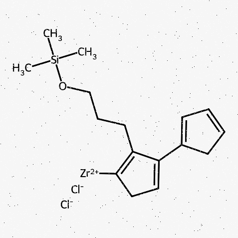 C[Si](C)(C)OCCCC1=[C]([Zr+2])CC=C1C1=CC=CC1.[Cl-].[Cl-]